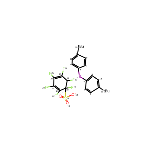 CC(C)(C)c1ccc([I+]c2ccc(C(C)(C)C)cc2)cc1.O=S(=O)([O-])C1(F)C(F)=C(F)C(F)=C(F)C1F